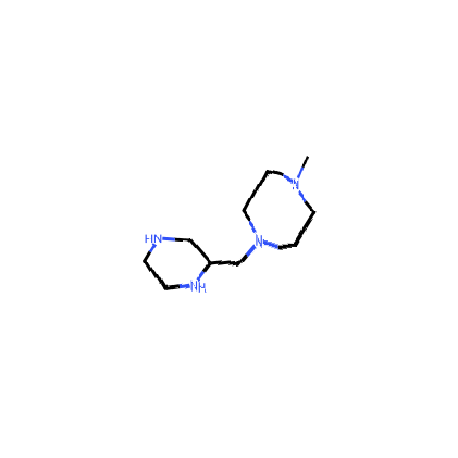 CN1CCN(CC2CNCCN2)CC1